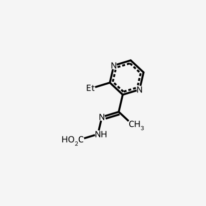 CCc1nccnc1C(C)=NNC(=O)O